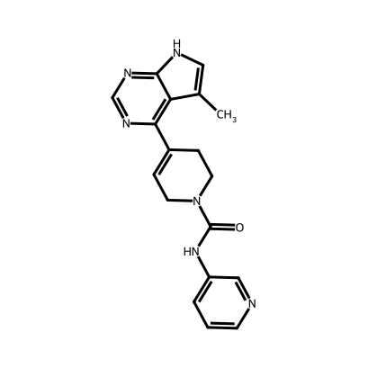 Cc1c[nH]c2ncnc(C3=CCN(C(=O)Nc4cccnc4)CC3)c12